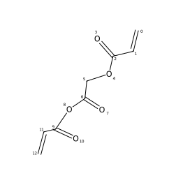 C=CC(=O)OCC(=O)OC(=O)C=C